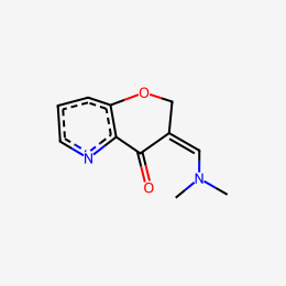 CN(C)C=C1COc2cccnc2C1=O